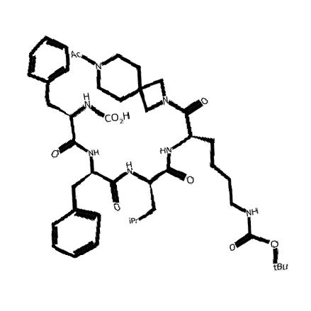 CC(=O)N1CCC2(CC1)CN(C(=O)[C@@H](CCCCNC(=O)OC(C)(C)C)NC(=O)[C@@H](CC(C)C)NC(=O)[C@@H](Cc1ccccc1)NC(=O)[C@@H](Cc1ccccc1)NC(=O)O)C2